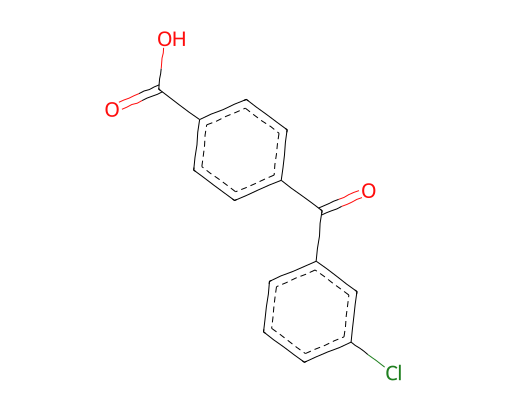 O=C(O)c1ccc(C(=O)c2cccc(Cl)c2)cc1